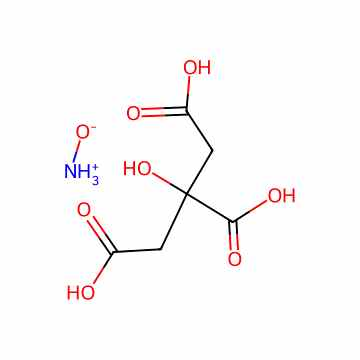 O=C(O)CC(O)(CC(=O)O)C(=O)O.[NH3+][O-]